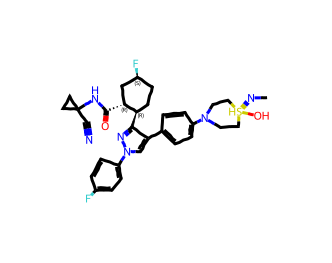 CN=[SH]1(O)CCN(c2ccc(-c3cn(-c4ccc(F)cc4)nc3[C@@H]3CC[C@H](F)C[C@H]3C(=O)NC3(C#N)CC3)cc2)CC1